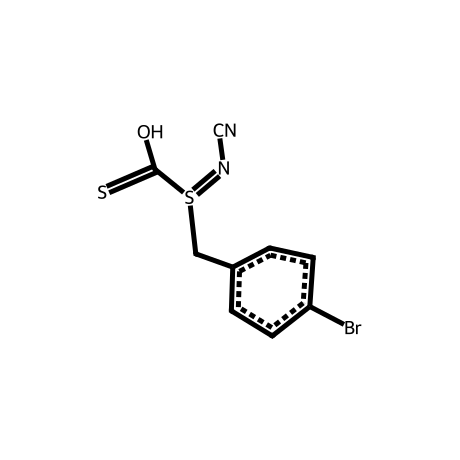 N#CN=S(Cc1ccc(Br)cc1)C(O)=S